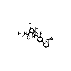 NC(=O)c1cc(F)cc2[nH]c(-c3ccc(C4CCCCN4CC4CC4)cc3F)nc12